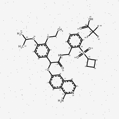 CCOc1cc(C(Oc2ccc3c(N)nccc3c2)C(=O)NCc2ccccc2S(=O)(=O)C2CCC2)ccc1OC(C)C.O=C(O)C(F)(F)F